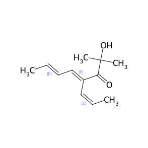 C\C=C/C(=C\C=C\C)C(=O)C(C)(C)O